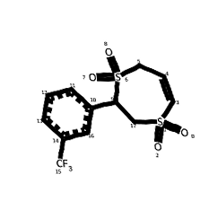 O=S1(=O)C=CCS(=O)(=O)C(c2cccc(C(F)(F)F)c2)C1